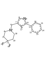 FC1(F)CCN(Cc2cnc(-c3ccccc3)s2)CC1